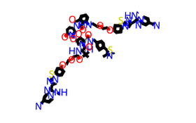 CNc1c(-c2cn3c(n2)sc2cc(OCCOCCNc4cccc5c4C(=O)N(C4CCC(=O)N(O[C@H]6C[C@H](C(=O)NCc7ccc(-c8scnc8C)cc7)N(C(=O)[C@H](NC(=O)COCCOc7ccc8c(c7)sc7nc(-c9nc%10cc(C#N)ccn%10c9NC)cn78)C(C)(C)C)C6)C4=O)C5=O)ccc23)nc2cc(C#N)ccn12